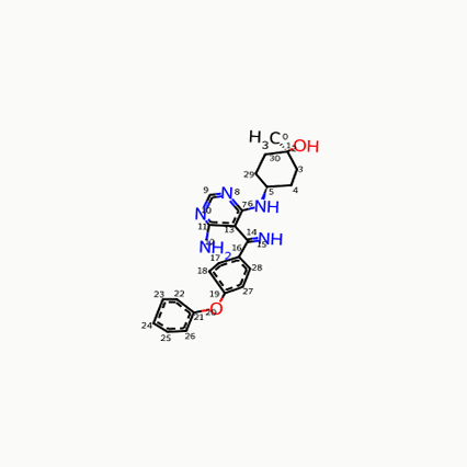 C[C@]1(O)CC[C@@H](Nc2ncnc(N)c2C(=N)c2ccc(Oc3ccccc3)cc2)CC1